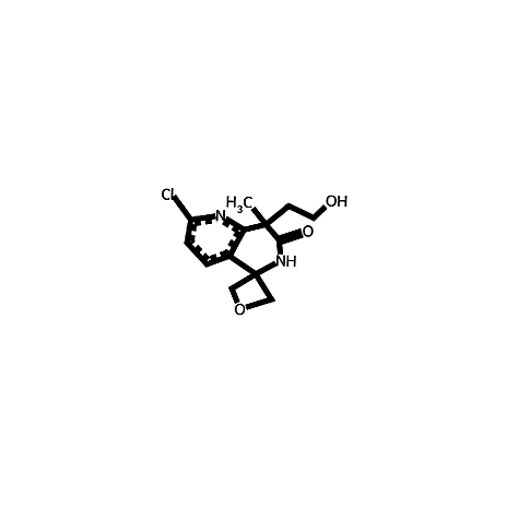 CC1(CCO)C(=O)NC2(COC2)c2ccc(Cl)nc21